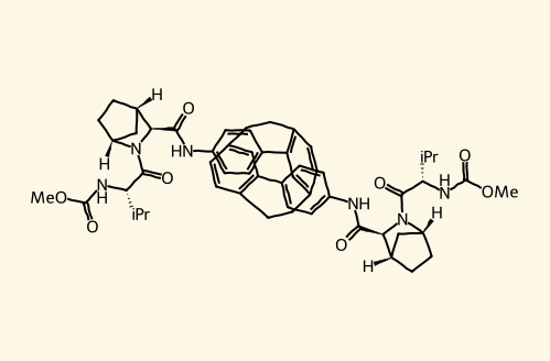 COC(=O)N[C@H](C(=O)N1[C@@H]2CC[C@@H](C2)[C@H]1C(=O)Nc1ccc(-c2cc3ccc2CCc2ccc(c(-c4ccc(NC(=O)[C@@H]5[C@H]6CC[C@H](C6)N5C(=O)[C@@H](NC(=O)OC)C(C)C)cc4)c2)CC3)cc1)C(C)C